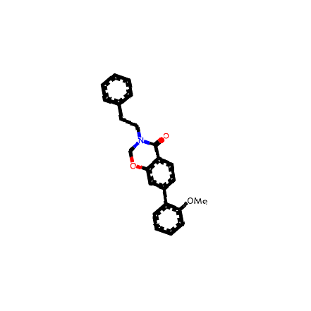 COc1ccccc1-c1ccc2c(c1)OCN(CCc1ccccc1)C2=O